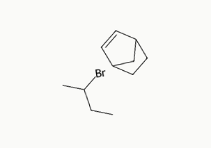 C1=CC2CCC1C2.CCC(C)Br